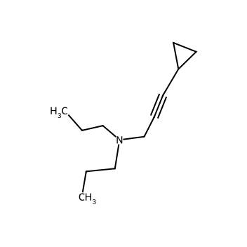 CCCN(CC#CC1CC1)CCC